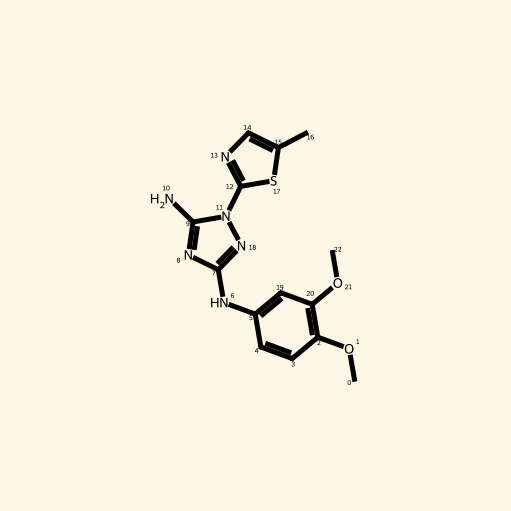 COc1ccc(Nc2nc(N)n(-c3ncc(C)s3)n2)cc1OC